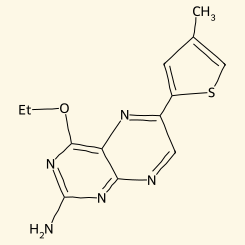 CCOc1nc(N)nc2ncc(-c3cc(C)cs3)nc12